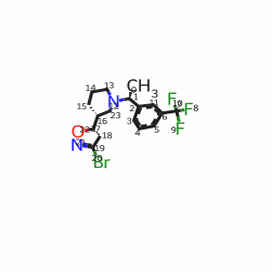 C[C@@H](c1cccc(C(F)(F)F)c1)N1CCC[C@@H]([C@@H]2CC(Br)=NO2)C1